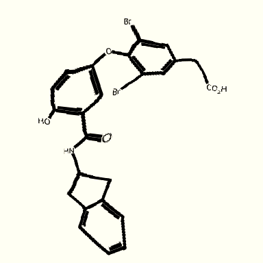 O=C(O)Cc1cc(Br)c(Oc2ccc(O)c(C(=O)NC3Cc4ccccc4C3)c2)c(Br)c1